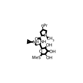 CCC[C@@H]1C[C@@H](C(=O)N[C@H](CNC2CC2)[C@H]2OC(SC)[C@H](O)C(O)C2O)N(C)C1